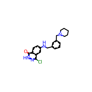 O=c1[nH]nc(Cl)c2cc(NCc3cccc(CN4CCCCC4)c3)ccc12